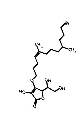 CC(=CCCCOC1=C(O)C(=O)O[C@@H]1[C@@H](O)CO)CCCC(C)CCCC(C)C